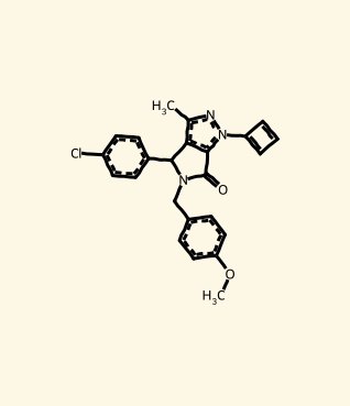 COc1ccc(CN2C(=O)c3c(c(C)nn3C3=CC=C3)C2c2ccc(Cl)cc2)cc1